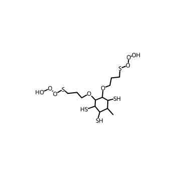 CC1C(S)C(S)C(OCCCSOOO)C(OCCCSOOO)C1S